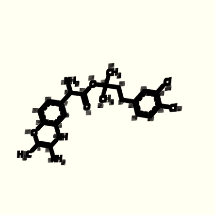 CC1=C(N)Nc2cc(C(N)C(=O)OC(C)(C)CCc3ccc(Cl)c(Cl)c3)ccc2O1